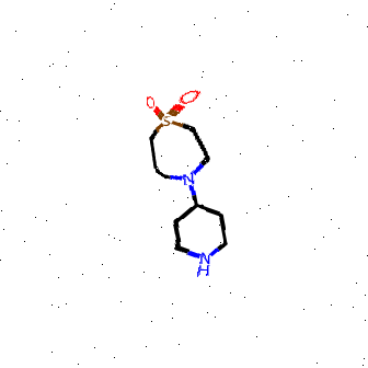 O=S1(=O)CCN(C2CCNCC2)CC1